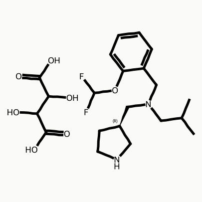 CC(C)CN(Cc1ccccc1OC(F)F)C[C@@H]1CCNC1.O=C(O)C(O)C(O)C(=O)O